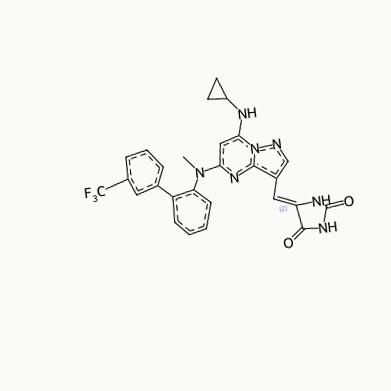 CN(c1cc(NC2CC2)n2ncc(/C=C3\NC(=O)NC3=O)c2n1)c1ccccc1-c1cccc(C(F)(F)F)c1